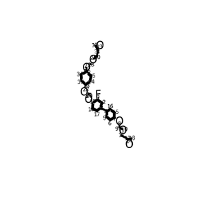 Fc1cc(-c2ccc(OCOCC3CO3)cc2)ccc1OCOc1ccc(OCOCC2CO2)cc1